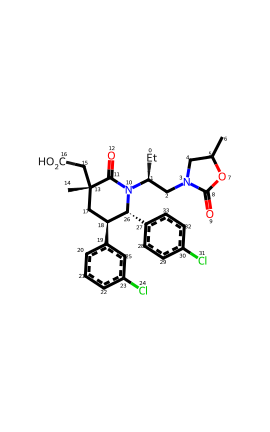 CC[C@@H](CN1CC(C)OC1=O)N1C(=O)[C@@](C)(CC(=O)O)C[C@H](c2cccc(Cl)c2)[C@H]1c1ccc(Cl)cc1